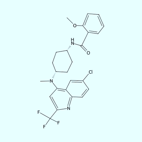 COc1ccccc1C(=O)N[C@H]1CC[C@@H](N(C)c2cc(C(F)(F)F)nc3ccc(Cl)cc23)CC1